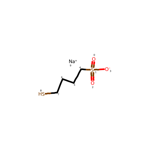 O=S(=O)([O-])CCCCS.[Na+]